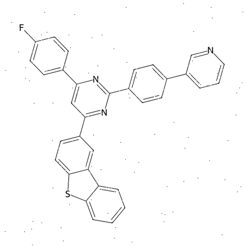 Fc1ccc(-c2cc(-c3ccc4sc5ccccc5c4c3)nc(-c3ccc(-c4cccnc4)cc3)n2)cc1